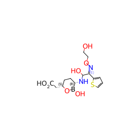 O=C(O)C[C@@H]1CC[C@H](NC(O)/C(=N\OCCO)c2cccs2)B(O)O1